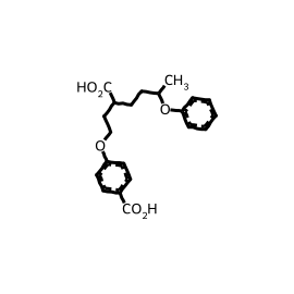 CC(CCC(CCOc1ccc(C(=O)O)cc1)C(=O)O)Oc1ccccc1